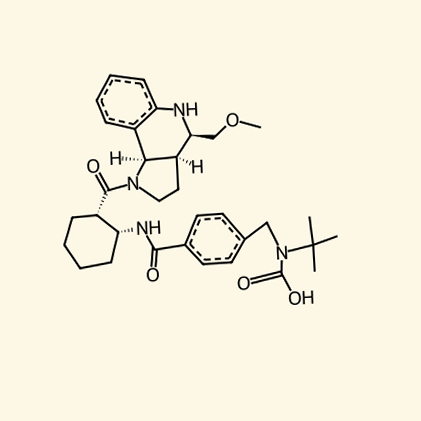 COC[C@@H]1Nc2ccccc2[C@H]2[C@@H]1CCN2C(=O)[C@H]1CCCC[C@H]1NC(=O)c1ccc(CN(C(=O)O)C(C)(C)C)cc1